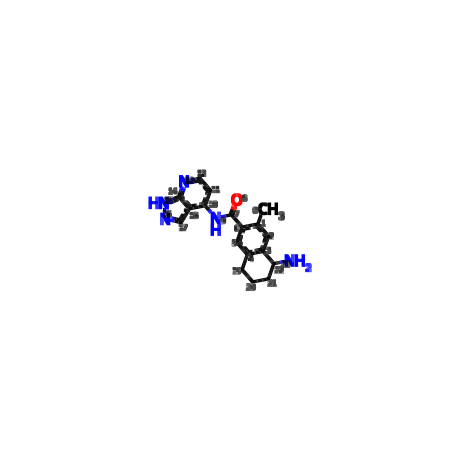 Cc1cc2c(cc1C(=O)Nc1ccnc3[nH]ncc13)CCCC2N